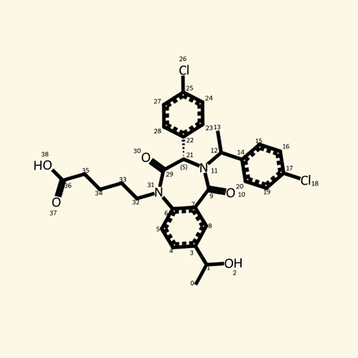 CC(O)c1ccc2c(c1)C(=O)N(C(C)c1ccc(Cl)cc1)[C@@H](c1ccc(Cl)cc1)C(=O)N2CCCCC(=O)O